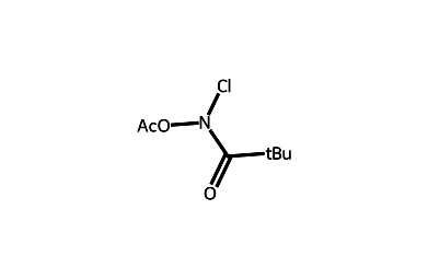 CC(=O)ON(Cl)C(=O)C(C)(C)C